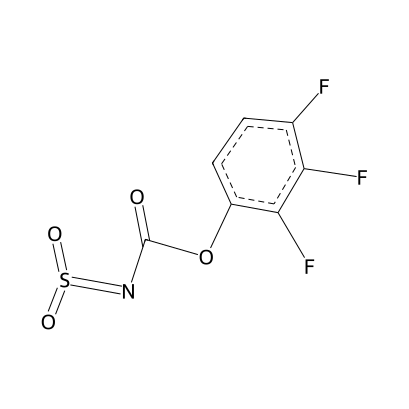 O=C(N=S(=O)=O)Oc1ccc(F)c(F)c1F